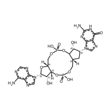 Nc1nc2c(ncn2[C@@H]2C[C@@H]3COP(=O)(O)O[C@@H]4[C@H](O)[C@H](n5cnc6c(N)ncnc65)O[C@@H]4COP(=O)(O)OC3[C@@H]2O)c(=O)[nH]1